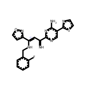 N=C(/C=C(\NCc1ccccc1F)c1ccon1)c1ncc(-c2nccs2)c(N)n1